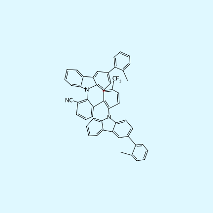 Cc1ccccc1-c1ccc2c(c1)c1ccccc1n2-c1ccc(C(F)(F)F)cc1-c1cccc(C#N)c1-n1c2ccccc2c2cc(-c3ccccc3C)ccc21